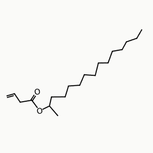 C=CCC(=O)OC(C)CCCCCCCCCCCCC